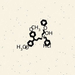 COc1ccc(C(CCCN(Cc2ccccc2)C[C@H](O)COc2ccccc2)c2ccc(OC)cc2)cc1.Cl